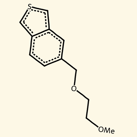 COCCOCc1ccc2cscc2c1